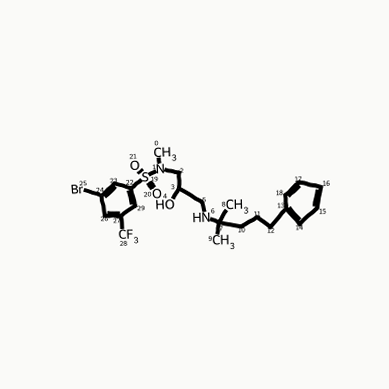 CN(CC(O)CNC(C)(C)CCCc1ccccc1)S(=O)(=O)c1cc(Br)cc(C(F)(F)F)c1